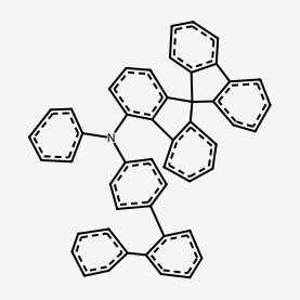 c1ccc(-c2ccccc2-c2ccc(N(c3ccccc3)c3cccc4c3-c3ccccc3C43c4ccccc4-c4ccccc43)cc2)cc1